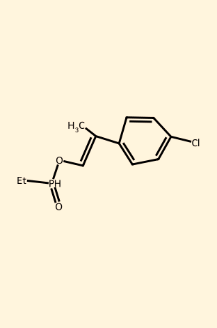 CC[PH](=O)OC=C(C)c1ccc(Cl)cc1